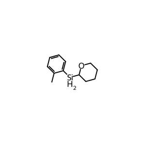 Cc1ccccc1[SiH2]C1CCCCO1